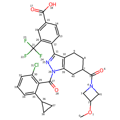 COC1CN(C(=O)C2CCc3c(-c4ccc(C(=O)O)cc4C(F)(F)F)nn(C(=O)c4c(Cl)cccc4C4CC4)c3C2)C1